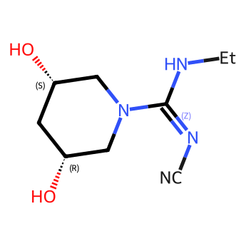 CCN/C(=N/C#N)N1C[C@H](O)C[C@H](O)C1